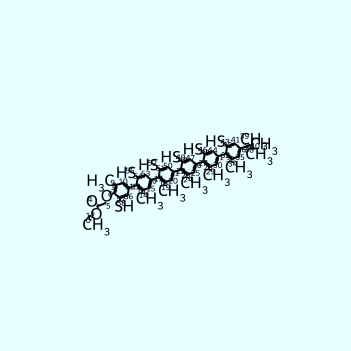 CCOC(=O)COc1c(C)cc(-c2c(C)cc(-c3c(C)cc(-c4c(C)cc(-c5c(C)cc(-c6c(C)cc(C(C)(C)C)cc6S)cc5S)cc4S)cc3S)cc2S)cc1S